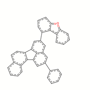 c1ccc(-c2cc3c4c(cc(-c5cccc6oc7ccccc7c56)cc4c2)-c2ccc4ccccc4c2-3)cc1